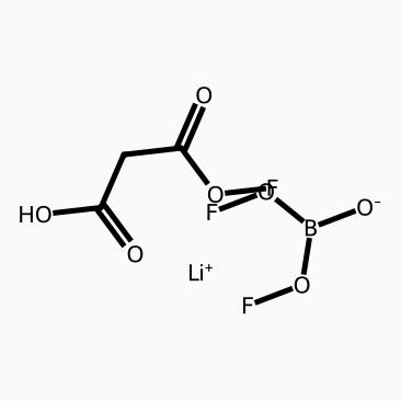 O=C(O)CC(=O)OF.[Li+].[O-]B(OF)OF